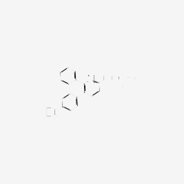 CCOC(=O)c1ccc(-c2ccc(CC)cc2)c(-c2ccccc2)n1